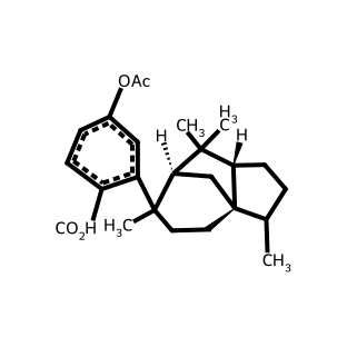 CC(=O)Oc1ccc(C(=O)O)c(C2(C)CC[C@@]34C[C@@H]2C(C)(C)[C@@H]3CCC4C)c1